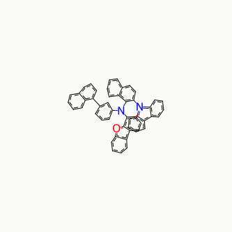 c1cc(-c2cccc3ccccc23)cc(N(c2c(-n3c4ccccc4c4ccccc43)ccc3ccccc23)c2cccc3c2oc2ccccc23)c1